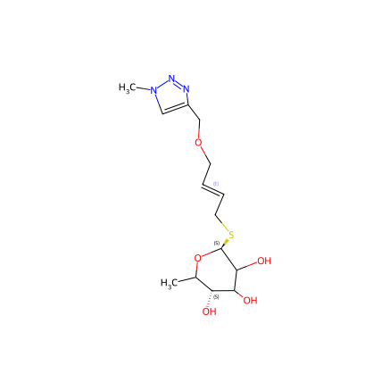 CC1O[C@@H](SC/C=C/COCc2cn(C)nn2)C(O)C(O)[C@@H]1O